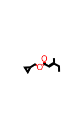 CC/C(C)=C/C(=O)OCC1CC1